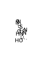 [CH2][C@@H]1C[C@@H](Nc2ncncc2C(=O)c2cc(Cn3cccn3)c(C)s2)C[C@@H]1O